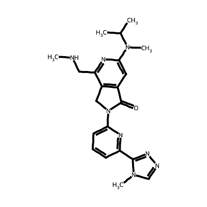 CNCc1nc(N(C)C(C)C)cc2c1CN(c1cccc(-c3nncn3C)n1)C2=O